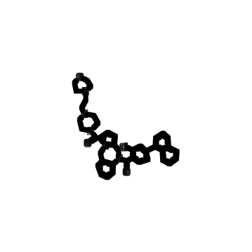 O=C(c1ccc2n1Cc1ccccc1N(C(=O)c1ccc(-c3cccc4ccccc34)cc1Cl)C2)N1CCN(CCN2CCOCC2)CC1